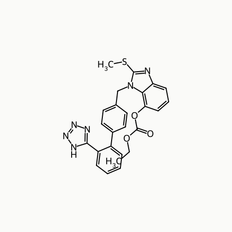 CCOC(=O)Oc1cccc2nc(SC)n(Cc3ccc(-c4ccccc4-c4nnn[nH]4)cc3)c12